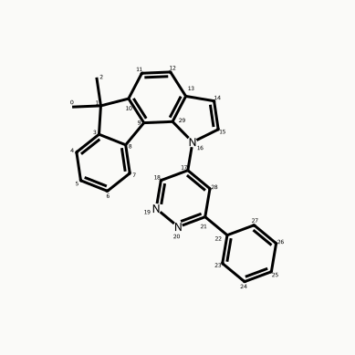 CC1(C)c2ccccc2-c2c1ccc1ccn(-c3cnnc(-c4ccccc4)c3)c21